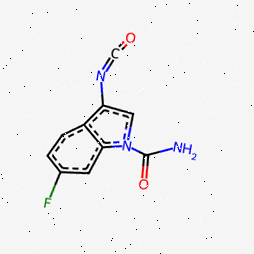 NC(=O)n1cc(N=C=O)c2ccc(F)cc21